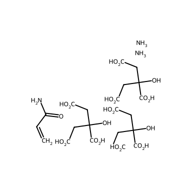 C=CC(N)=O.N.N.O=C(O)CC(O)(CC(=O)O)C(=O)O.O=C(O)CC(O)(CC(=O)O)C(=O)O.O=C(O)CC(O)(CC(=O)O)C(=O)O